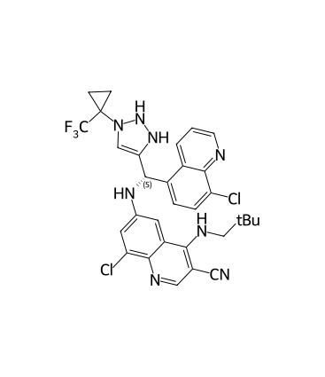 CC(C)(C)CNc1c(C#N)cnc2c(Cl)cc(N[C@H](C3=CN(C4(C(F)(F)F)CC4)NN3)c3ccc(Cl)c4ncccc34)cc12